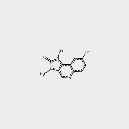 CC(C)n1c(=O)n(C)c2cnc3ccc(Br)cc3c21